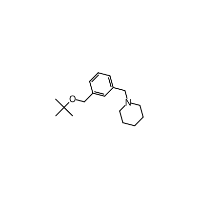 CC(C)(C)OCc1cccc(CN2CCCCC2)c1